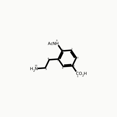 CC(=O)Nc1ccc(C(=O)O)cc1CCN